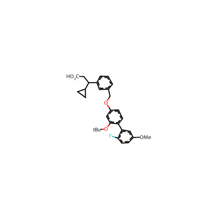 COc1ccc(F)c(-c2ccc(OCc3cccc(C(CC(=O)O)C4CC4)c3)cc2OC(C)(C)C)c1